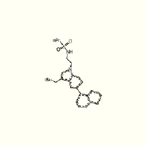 CCCS(=O)(=O)NCCn1cc(CC(C)(C)C)c2cc(-c3cccc4ccccc34)ccc21